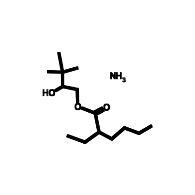 CCCCC(CC)C(=O)OCC(O)C(C)(C)C.N